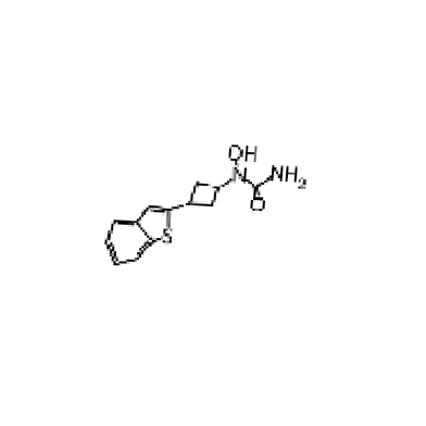 NC(=O)N(O)C1CC(c2cc3ccccc3s2)C1